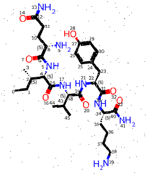 CC[C@H](C)[C@H](NC(=O)[C@@H](N)CCC(N)=O)C(=O)N[C@H](C(=O)N[C@@H](Cc1ccc(O)cc1)C(=O)N[C@@H](CCCCN)C(N)=O)C(C)C